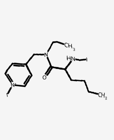 CCCCC(NI)C(=O)N(CC)Cc1cc[n+](I)cc1